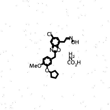 COc1ccc(Cc2nc3cc(Cl)cc(C/C=N\O)c3o2)cc1OC1CCCC1.NC(=O)O